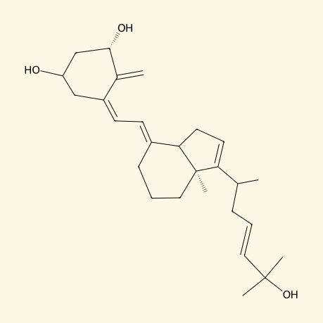 C=C1/C(=C\C=C2/CCC[C@]3(C)C(C(C)C/C=C/C(C)(C)O)=CCC23)CC(O)C[C@@H]1O